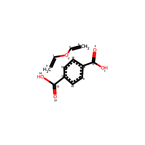 C=COC=C.O=C(O)c1ccc(C(=O)O)cc1